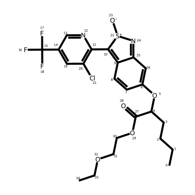 CCCCC(Oc1ccc2c(-c3ncc(C(F)(F)F)cc3Cl)[s+]([O-])nc2c1)C(=O)OCCOCC